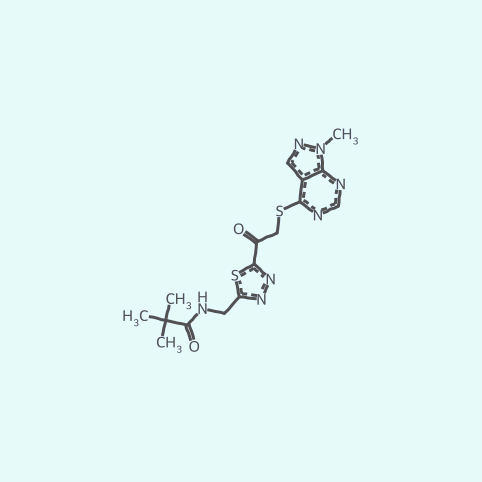 Cn1ncc2c(SCC(=O)c3nnc(CNC(=O)C(C)(C)C)s3)ncnc21